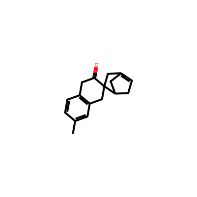 Cc1ccc2c(c1)CC1(CC3=CCC1C3)C(=O)C2